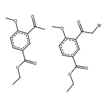 CCOC(=O)c1ccc(OC)c(C(=O)CBr)c1.CCOC(=O)c1ccc(OC)c(C(C)=O)c1